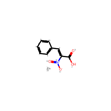 O=C(O)C(=Cc1ccccc1)[N+](=O)[O-].[Zn]